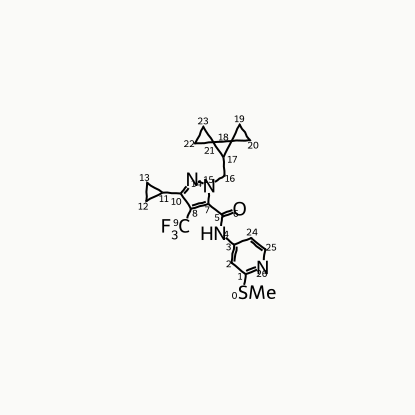 CSc1cc(NC(=O)c2c(C(F)(F)F)c(C3CC3)nn2CC2C3(CC3)C23CC3)ccn1